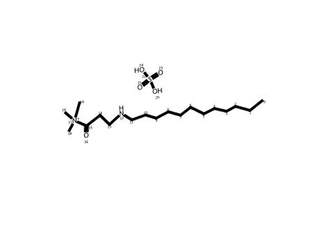 CCCCCCCCCCCCNCCC(=O)[N+](C)(C)C.O=S(=O)(O)O